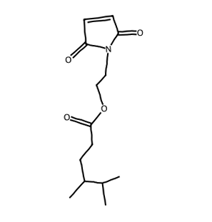 CC(C)C(C)CCC(=O)OCCN1C(=O)C=CC1=O